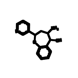 NC1CC(c2cccnc2)Oc2ccccc2C1O